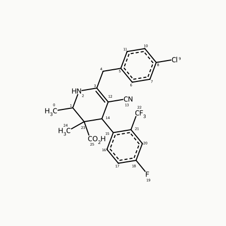 CC1NC(Cc2ccc(Cl)cc2)=C(C#N)C(c2ccc(F)cc2C(F)(F)F)C1(C)C(=O)O